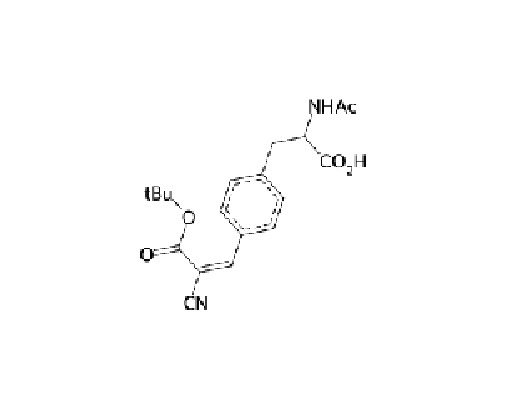 CC(=O)NC(Cc1ccc(C=C(C#N)C(=O)OC(C)(C)C)cc1)C(=O)O